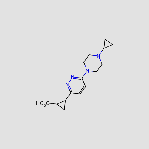 O=C(O)C1CC1c1ccc(N2CCN(C3CC3)CC2)nn1